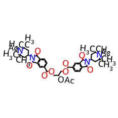 CC(=O)OC(COC(=O)c1ccc2c(c1)C(=O)N(C1CC(C)(C)N(C(C)=O)C(C)(C)C1)C2=O)COC(=O)c1ccc2c(c1)C(=O)N(C1CC(C)(C)N(C(C)=O)C(C)(C)C1)C2=O